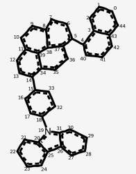 c1ccc2c(-c3ccc4ccc5ccc(-c6ccc(-n7c8ccccc8c8ccccc87)cc6)c6ccc3c4c56)cccc2c1